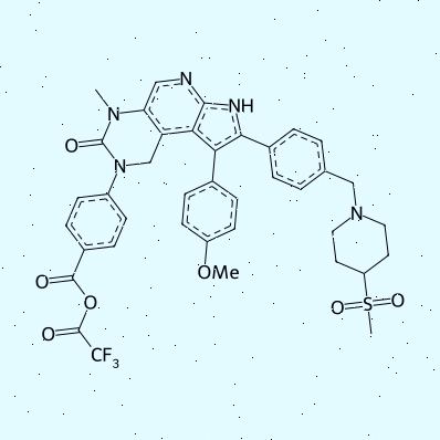 COc1ccc(-c2c(-c3ccc(CN4CCC(S(C)(=O)=O)CC4)cc3)[nH]c3ncc4c(c23)CN(c2ccc(C(=O)OC(=O)C(F)(F)F)cc2)C(=O)N4C)cc1